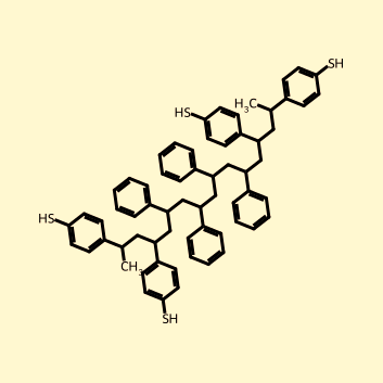 CC(CC(CC(CC(CC(CC(CC(CC(C)c1ccc(S)cc1)c1ccc(S)cc1)c1ccccc1)c1ccccc1)c1ccccc1)c1ccccc1)c1ccc(S)cc1)c1ccc(S)cc1